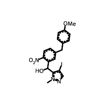 COc1ccc(Cc2ccc([N+](=O)[O-])c(C(O)c3c(I)cnn3C)c2)cc1